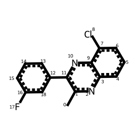 Cc1nc2cccc(Cl)c2nc1-c1cccc(F)c1